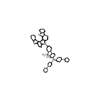 CC1(C)c2cc(N(c3ccc(-c4ccccc4)cc3)c3ccc(-c4ccccc4)cc3)ccc2-c2ccc(-n3c4ccc5c6ccccc6sc5c4c4c5c(ccc43)sc3ccccc35)cc21